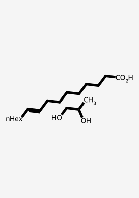 CC(O)CO.CCCCCCC=CCCCCCCCC(=O)O